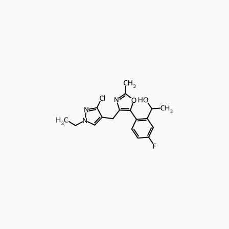 CCn1cc(Cc2nc(C)oc2-c2ccc(F)cc2C(C)O)c(Cl)n1